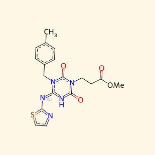 COC(=O)CCn1c(=O)[nH]/c(=N\c2nccs2)n(Cc2ccc(C)cc2)c1=O